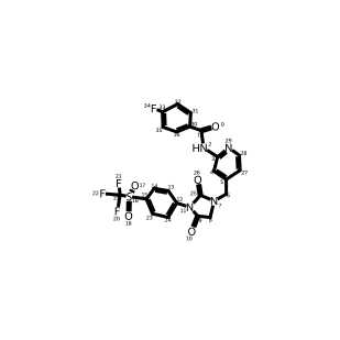 O=C(Nc1cc(CN2CC(=O)N(c3ccc(S(=O)(=O)C(F)(F)F)cc3)C2=O)ccn1)c1ccc(F)cc1